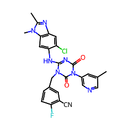 Cc1cncc(-n2c(=O)nc(Nc3cc4c(cc3Cl)nc(C)n4C)n(Cc3ccc(F)c(C#N)c3)c2=O)c1